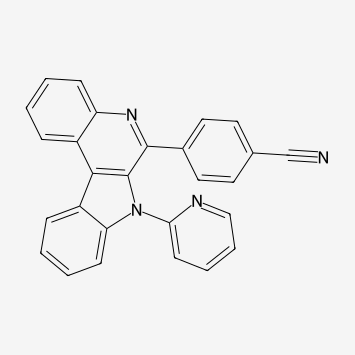 N#Cc1ccc(-c2nc3ccccc3c3c4ccccc4n(-c4ccccn4)c23)cc1